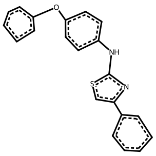 c1ccc(Oc2ccc(Nc3nc(-c4ccccc4)cs3)cc2)cc1